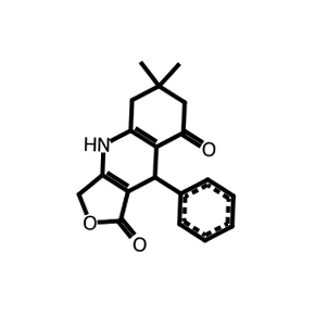 CC1(C)CC(=O)C2=C(C1)NC1=C(C(=O)OC1)C2c1ccccc1